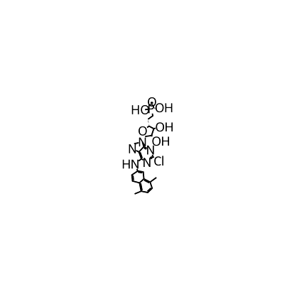 Cc1ccc(C)c2cc(Nc3nc(Cl)nc4c3ncn4[C@@H]3O[C@H](CCP(=O)(O)O)C(O)C3O)ccc12